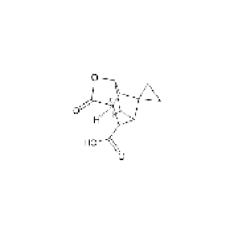 O=C(O)C1C2C(I)C3OC(=O)[C@H]1C3C21CC1